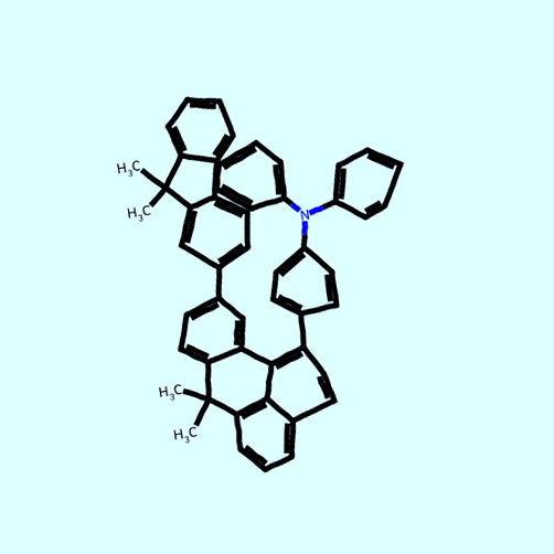 CC1(C)c2ccccc2-c2ccc(-c3ccc4c(c3)-c3c(-c5ccc(N(c6ccccc6)c6ccccc6)cc5)ccc5cccc(c35)C4(C)C)cc21